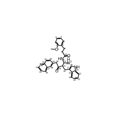 COc1ccccc1CCC(=O)NC(N)C(Cc1c[nH]c2ccccc12)C(=O)Cc1ccc2ncccc2c1